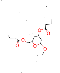 CCCC(=O)OCC1CC(OC(=O)CCC)CC(OC)O1